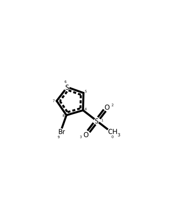 CS(=O)(=O)c1cscc1Br